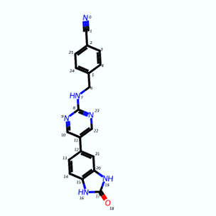 N#Cc1ccc(CNc2ncc(-c3ccc4[nH]c(=O)[nH]c4c3)cn2)cc1